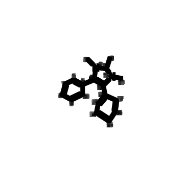 CC1N(C)C(c2ccccc2)=C(c2ccccc2)N1C